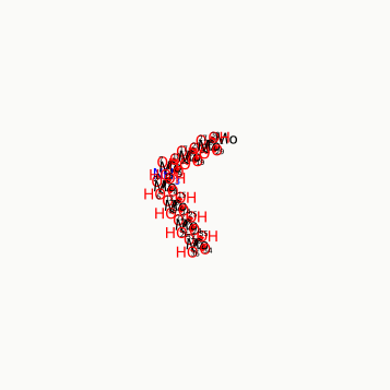 N.[Mo].[O]=[Mo](=[O])([OH])[OH].[O]=[Mo](=[O])([OH])[OH].[O]=[Mo](=[O])([OH])[OH].[O]=[Mo](=[O])([OH])[OH].[O]=[Mo](=[O])([OH])[OH].[O]=[Mo](=[O])([OH])[OH].[O]=[Mo](=[O])([OH])[OH]